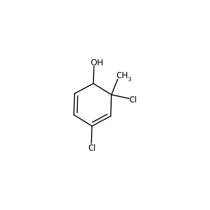 CC1(Cl)C=C(Cl)C=CC1O